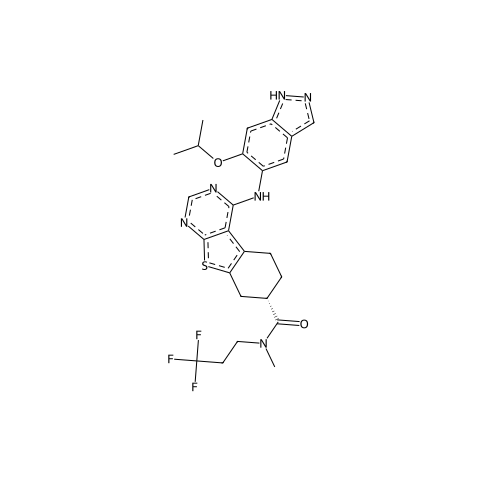 CC(C)Oc1cc2[nH]ncc2cc1Nc1ncnc2sc3c(c12)CC[C@H](C(=O)N(C)CCC(F)(F)F)C3